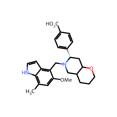 COc1cc(C)c2[nH]ccc2c1CN1CC2CCCOC2C[C@H]1c1ccc(C(=O)O)cc1